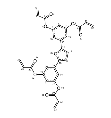 C=CC(=O)Oc1cc(OC(=O)C=C)cc(-c2ccc(-c3cc(OC(=O)C=C)cc(OC(=O)C=C)c3)o2)c1